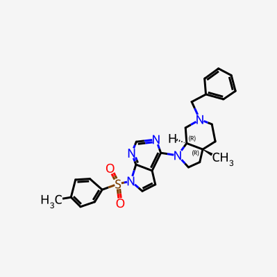 Cc1ccc(S(=O)(=O)n2ccc3c(N4CC[C@@]5(C)CCN(Cc6ccccc6)C[C@H]45)ncnc32)cc1